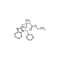 CCOC(=O)CC(C)(C)Cc1nc2ccccc2n1Cc1ccccc1